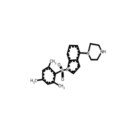 Cc1cc(C)c(S(=O)(=O)n2ccc3c(N4CCNCC4)cccc32)c(C)c1